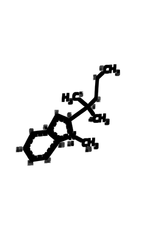 CCCC(C)(C)c1cc2ccccc2n1C